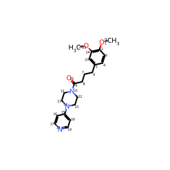 COc1ccc(CCCC(=O)N2CCN(c3ccncc3)CC2)cc1OC